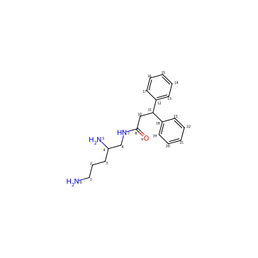 NCCCC(N)CNC(=O)CC(c1ccccc1)c1ccccc1